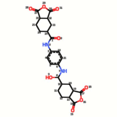 O=C(Nc1ccc(NC(O)C2CCC3C(=O)OC(=O)C3C2)cc1)C1CCC2C(=O)OC(=O)C2C1